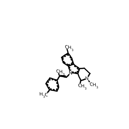 C/C(=C\n1c2c(c3cc(C)ccc31)CCN(C)C2C)c1ccc(C)cc1